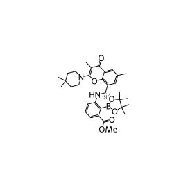 COC(=O)c1cccc(N[C@@H](C)c2cc(C)cc3c(=O)c(C)c(N4CCC(C)(C)CC4)oc23)c1B1OC(C)(C)C(C)(C)O1